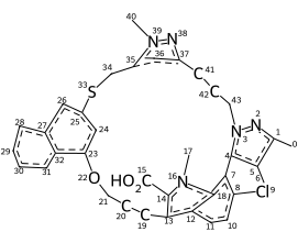 Cc1nn2c(c1C)-c1c(Cl)ccc3c(c(C(=O)O)n(C)c13)CCCOc1cc(cc3ccccc13)SCc1cc(nn1C)CCC2